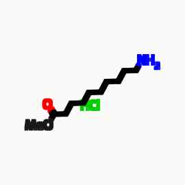 COC(=O)CCCCCCCCCN.Cl